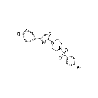 O=S(=O)(c1ccc(Br)cc1)N1CCN(c2nc(-c3ccc(Cl)cc3)cs2)CC1